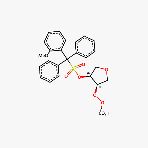 COc1ccccc1C(c1ccccc1)(c1ccccc1)S(=O)(=O)O[C@H]1COC[C@H]1OOC(=O)O